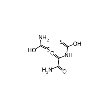 NC(=O)C(=O)NC(O)=S.NC(O)=S